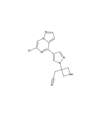 N#CCC1(n2cc(-c3nc(Cl)cn4nccc34)cn2)CNC1